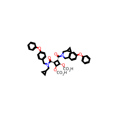 O=C(O)O[C@@H]1[C@@H](OC(=O)O)[C@@H](C(=O)N(Cc2ccc(Oc3ccccc3)cc2)CC2CC2)[C@@H]1C(=O)N(Cc1ccc(Oc2ccccc2)cc1)CC1CC1